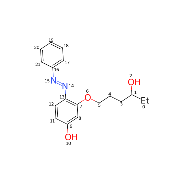 CCC(O)CCCOc1cc(O)ccc1N=Nc1ccccc1